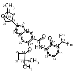 CC12CC(c3cn4cc(C(=O)Nc5cccn(C(F)F)c5=O)c(OC5CCC5(C)C)cc4n3)(CO1)C2